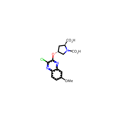 COc1ccc2nc(Cl)c(O[C@@H]3C[C@@H](C(=O)O)N(C(=O)O)C3)nc2c1